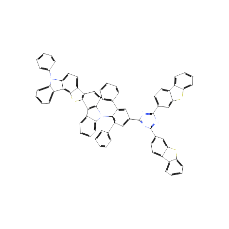 c1ccc(-c2cc(-c3nc(-c4ccc5c(c4)sc4ccccc45)nc(-c4ccc5c(c4)sc4ccccc45)n3)cc(-c3ccccc3)c2-n2c3ccccc3c3c4sc5c(ccc6c5c5ccccc5n6-c5ccccc5)c4ccc32)cc1